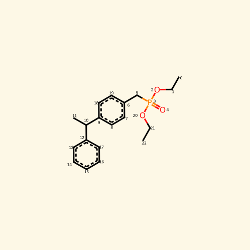 CCOP(=O)(Cc1ccc(C(C)c2ccccc2)cc1)OCC